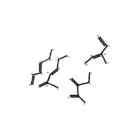 C=C(C)C(=C)CC.C=C(C)C=CCC.C=CC(C)=CC.C=CC=CCC